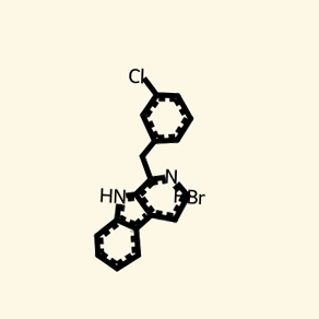 Br.Clc1cccc(Cc2nccc3c2[nH]c2ccccc23)c1